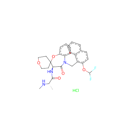 CN[C@@H](C)C(=O)N[C@@H]1C(=O)N(Cc2c(OC(F)F)ccc3ccccc23)c2ccccc2OC12CCOCC2.Cl